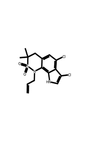 C=CCN1c2c(cc(Cl)c3c(Cl)c[nH]c23)CC(C)(C)S1(=O)=O